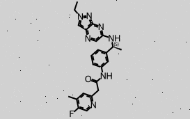 CCn1cc2ncc(N[C@@H](C)c3cccc(NC(=O)Cc4cc(C)c(F)cn4)c3)nc2n1